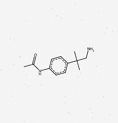 CC(=O)Nc1ccc(C(C)(C)CN)cc1